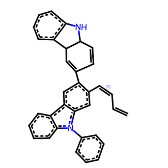 C=C/C=C\c1cc2c(cc1C1=CC3c4ccccc4NC3C=C1)c1ccccc1n2-c1ccccc1